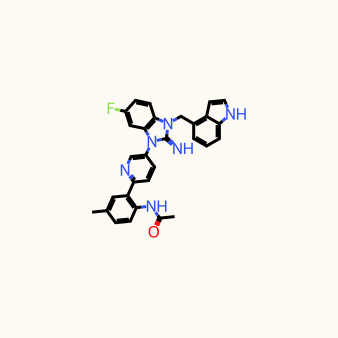 CC(=O)Nc1ccc(C)cc1-c1ccc(-n2c(=N)n(Cc3cccc4[nH]ccc34)c3ccc(F)cc32)cn1